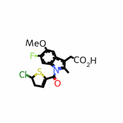 COc1cc2c(CC(=O)O)c(C)n(C(=O)C3=CCC(Cl)S3)c2cc1F